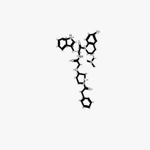 CN(C)C[C@H]1Cc2cc(Cl)ccc2N(C(=O)[C@@H](Cc2c[nH]c3ccccc23)NC(=O)COC2CCN(C(=O)Cc3ccccc3)CC2)C1